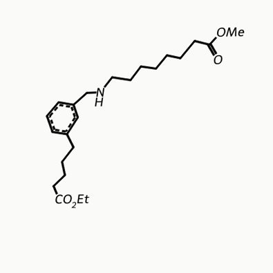 CCOC(=O)CCCCc1cccc(CNCCCCCCCC(=O)OC)c1